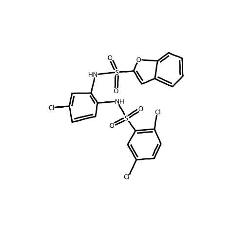 O=S(=O)(Nc1cc(Cl)ccc1NS(=O)(=O)c1cc(Cl)ccc1Cl)c1cc2ccccc2o1